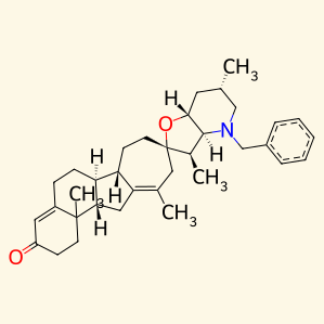 CC1=C2C[C@H]3[C@@H](CCC4=CC(=O)CCC43C)[C@@H]2CC[C@@]2(C1)O[C@@H]1C[C@H](C)CN(Cc3ccccc3)[C@H]1[C@H]2C